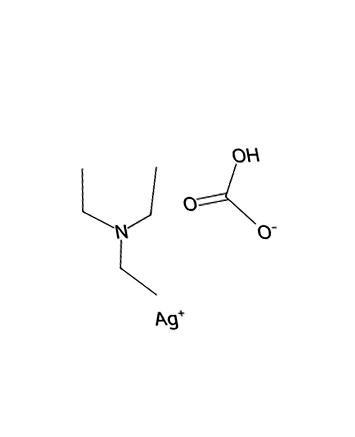 CCN(CC)CC.O=C([O-])O.[Ag+]